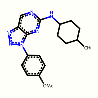 [CH]C1CCC(Nc2ncc3nnn(-c4ccc(OC)cc4)c3n2)CC1